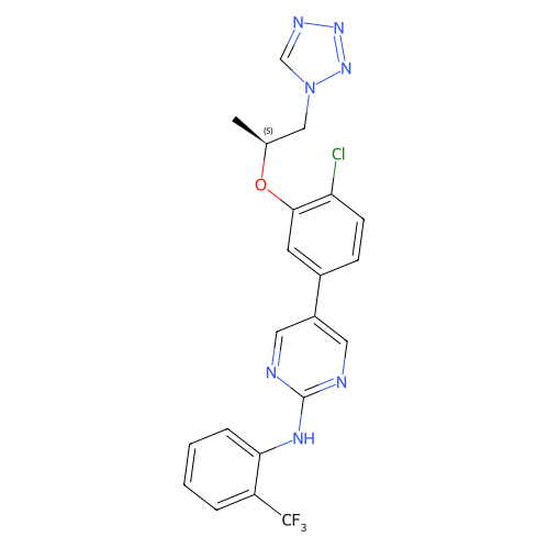 C[C@@H](Cn1cnnn1)Oc1cc(-c2cnc(Nc3ccccc3C(F)(F)F)nc2)ccc1Cl